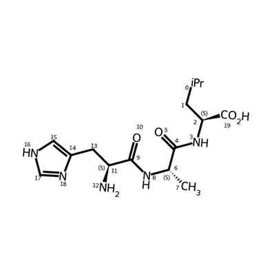 CC(C)C[C@H](NC(=O)[C@H](C)NC(=O)[C@@H](N)Cc1c[nH]cn1)C(=O)O